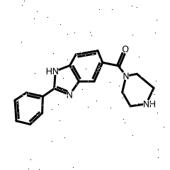 O=C(c1ccc2[nH]c(-c3ccccc3)nc2c1)N1CCNCC1